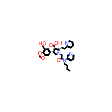 CCCCN(C(=O)CN1C[C@H](c2cc(CO)c3c(c2)OCO3)[C@@H](C(=O)O)[C@@H]1CCc1ccccn1)c1cccnc1